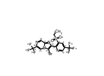 CCS(=O)(=O)c1cc(C(F)(F)F)cnc1-c1nc2cnc(C(F)(F)F)cn2c1Br